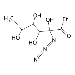 CCC(=O)C(O)(N=[N+]=[N-])C(O)C(O)C(C)O